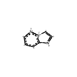 C1=C[n+]2ncccc2N=1